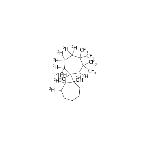 [2H]C1CCCCC(O)(C2(O)C([2H])([2H])C([2H])([2H])C([2H])([2H])C(C(F)(F)F)(C(F)(F)F)C(C(F)(F)F)(C(F)(F)F)C2([2H])[2H])C1([2H])[2H]